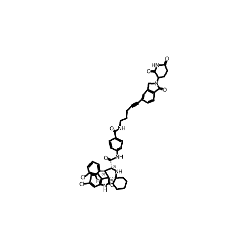 O=C1CCC(N2Cc3cc(C#CCCCNC(=O)c4ccc(NC(=O)[C@@H]5NC6(CCCCC6)[C@@]6(C(=O)Nc7cc(Cl)ccc76)[C@H]5c5cccc(Cl)c5F)cc4)ccc3C2=O)C(=O)N1